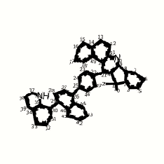 CC1(C)c2ccccc2-c2nc3ccc4ccccc4c3c(-c3ccc(-c4ccc(-c5cccc6c5NCC=C6)c5ccccc45)cc3)c21